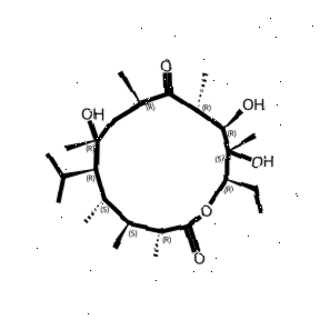 CC[C@H]1OC(=O)[C@H](C)[C@@H](C)[C@H](C)[C@@H](C(C)C)[C@](C)(O)C[C@@H](C)C(=O)[C@H](C)[C@@H](O)[C@]1(C)O